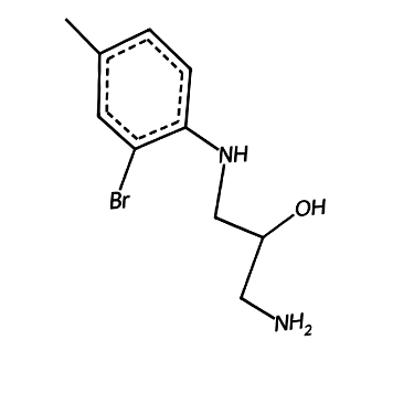 Cc1ccc(NCC(O)CN)c(Br)c1